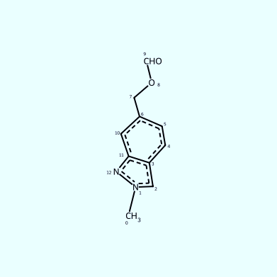 Cn1cc2ccc(COC=O)cc2n1